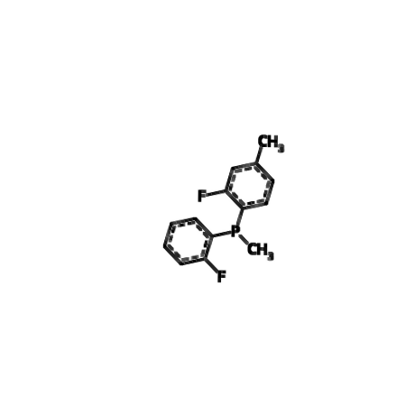 Cc1ccc(P(C)c2ccccc2F)c(F)c1